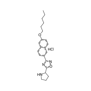 CCCCCCOc1ccc2cc(-c3noc(C4CCCN4)n3)ccc2c1.Cl